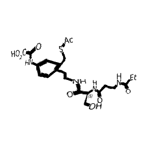 CCC(=O)NCCC(=O)N[C@@H](CO)C(=O)NCCc1ccc(NC(=O)C(=O)O)cc1CSC(C)=O